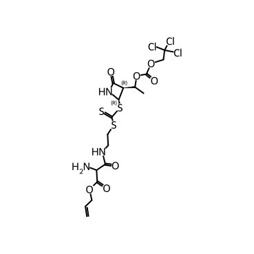 C=CCOC(=O)C(N)C(=O)NCCSC(=S)S[C@H]1NC(=O)[C@H]1C(C)OC(=O)OCC(Cl)(Cl)Cl